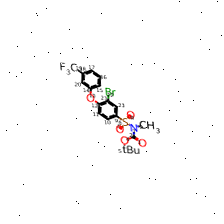 CN(C(=O)OC(C)(C)C)S(=O)(=O)c1ccc(Oc2cccc(C(F)(F)F)c2)c(Br)c1